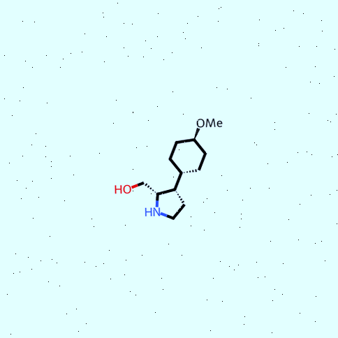 CO[C@H]1CC[C@H]([C@@H]2CCN[C@@H]2CO)CC1